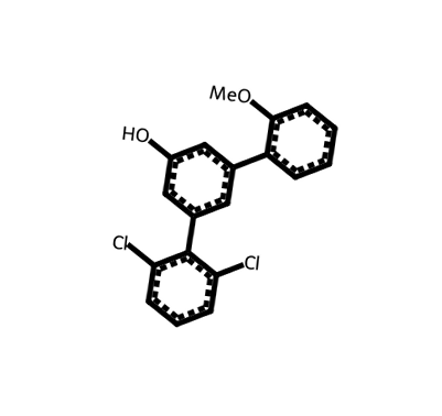 COc1ccccc1-c1cc(O)cc(-c2c(Cl)cccc2Cl)c1